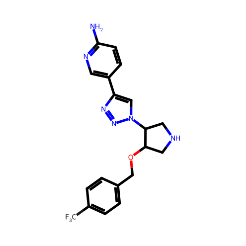 Nc1ccc(-c2cn(C3CNCC3OCc3ccc(C(F)(F)F)cc3)nn2)cn1